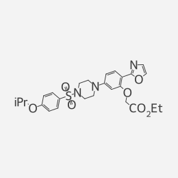 CCOC(=O)COc1cc(N2CCN(S(=O)(=O)c3ccc(OC(C)C)cc3)CC2)ccc1-c1ncco1